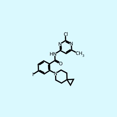 Cc1cc(NC(=O)c2ccc(I)cc2N2CCC3(CC2)CC3)nc(Cl)n1